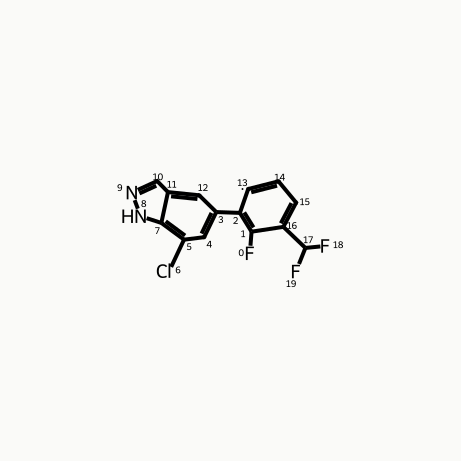 Fc1c(-c2cc(Cl)c3[nH]ncc3c2)[c]ccc1C(F)F